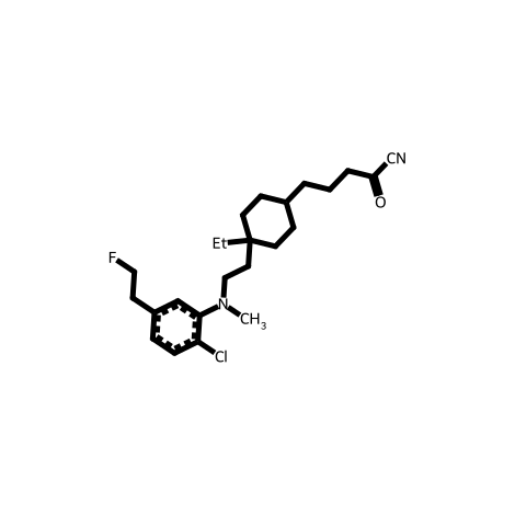 CCC1(CCN(C)c2cc(CCF)ccc2Cl)CCC(CCCC(=O)C#N)CC1